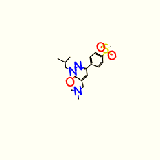 CC(C)Cn1nc(-c2ccc(S(C)(=O)=O)cc2)cc(CN(C)C)c1=O